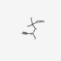 [C]#CN(C)CC(C)(C)OC